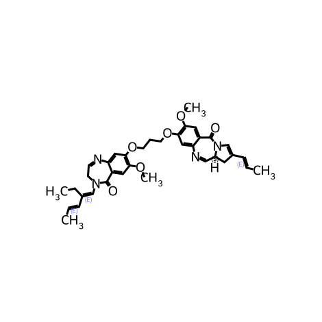 C/C=C/C1=CN2C(=O)c3cc(OC)c(OCCCOc4cc5c(cc4OC)C(=O)N(/C=C(/C=C/C)CC)CC=N5)cc3N=C[C@@H]2C1